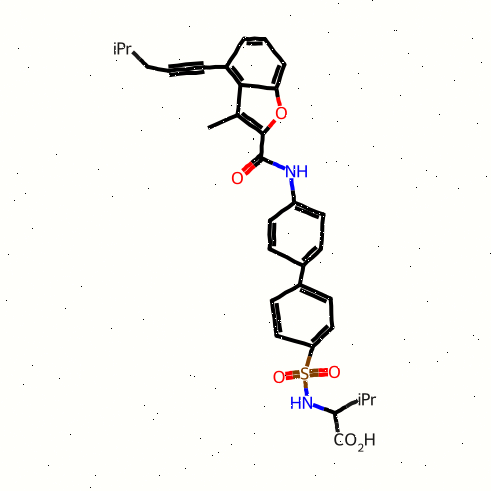 Cc1c(C(=O)Nc2ccc(-c3ccc(S(=O)(=O)NC(C(=O)O)C(C)C)cc3)cc2)oc2cccc(C#CCC(C)C)c12